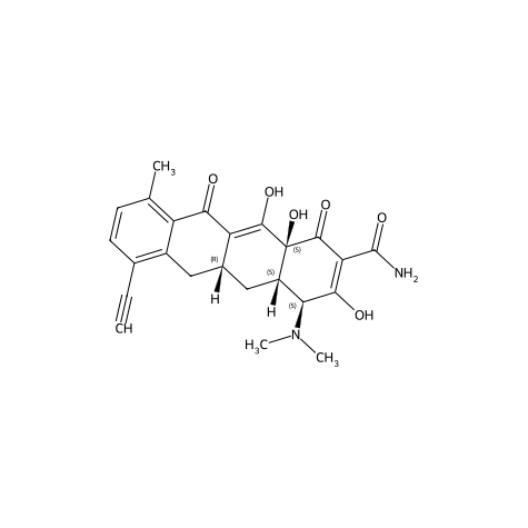 C#Cc1ccc(C)c2c1C[C@H]1C[C@H]3[C@H](N(C)C)C(O)=C(C(N)=O)C(=O)[C@@]3(O)C(O)=C1C2=O